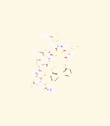 CC[C@H](C)[C@H](NC(=O)OCc1ccccc1)C(=O)N[C@@H](CCC(N)=O)C(=O)N[C@@H](CC(N)=O)C(=O)N[C@@H](CSCc1ccccc1)C(=O)N1CCC[C@H]1C(=O)N[C@@H](CC(C)C)C(=O)NCC(N)=O